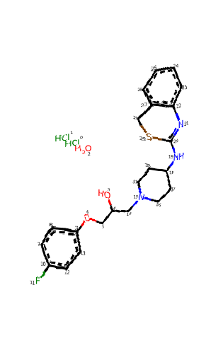 Cl.Cl.O.OC(COc1ccc(F)cc1)CN1CCC(NC2=Nc3ccccc3CS2)CC1